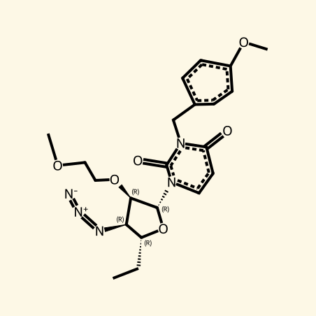 CC[C@H]1O[C@@H](n2ccc(=O)n(Cc3ccc(OC)cc3)c2=O)[C@H](OCCOC)[C@@H]1N=[N+]=[N-]